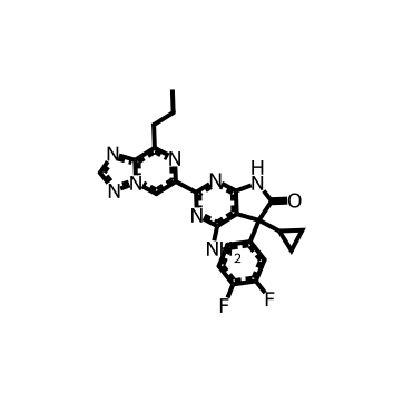 CCCc1nc(-c2nc(N)c3c(n2)NC(=O)C3(c2ccc(F)c(F)c2)C2CC2)cn2ncnc12